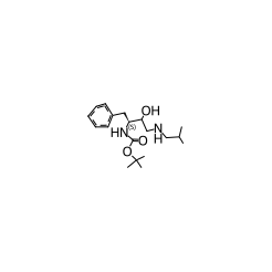 CC(C)CNCC(O)[C@H](Cc1ccccc1)NC(=O)OC(C)(C)C